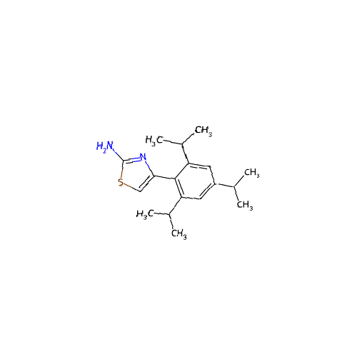 CC(C)c1cc(C(C)C)c(-c2csc(N)n2)c(C(C)C)c1